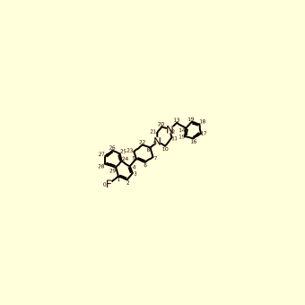 Fc1ccc(C2=CCC(N3CCN(Cc4ccccc4)CC3)CC2)c2ccccc12